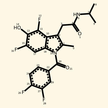 Cc1c(CC(=O)NC(C)C)c2c(F)c(O)c(F)cc2n1C(=O)c1ccc(F)c(F)c1